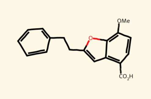 COc1ccc(C(=O)O)c2cc(CCc3ccccc3)oc12